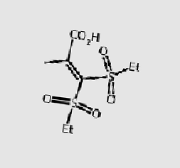 CCS(=O)(=O)C(=C(C)C(=O)O)S(=O)(=O)CC